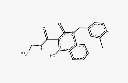 Cc1cc(Cn2c(=O)c(C(=O)NCC(=O)O)c(O)c3ccccc32)ccn1